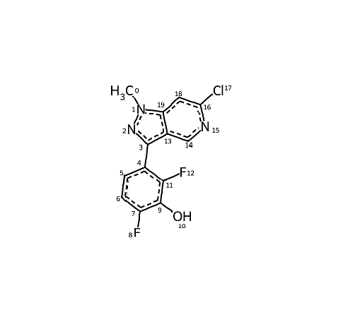 Cn1nc(-c2ccc(F)c(O)c2F)c2cnc(Cl)cc21